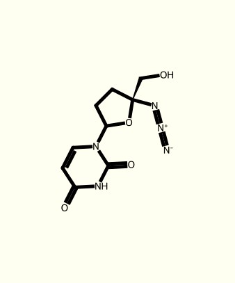 [N-]=[N+]=N[C@@]1(CO)CCC(n2ccc(=O)[nH]c2=O)O1